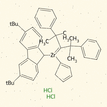 CC(C)(C)c1ccc2c(c1)-c1cc(C(C)(C)C)ccc1[CH]2[Zr]([C]1=CC=CC1)=[C](C(C)(C)c1ccccc1)C(C)(C)c1ccccc1.Cl.Cl